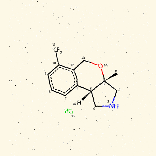 C[C@@]12CNC[C@@H]1c1cccc(C(F)(F)F)c1CO2.Cl